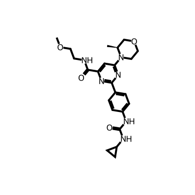 COCCNC(=O)c1cc(N2CCOC[C@@H]2C)nc(-c2ccc(NC(=O)NC3CC3)cc2)n1